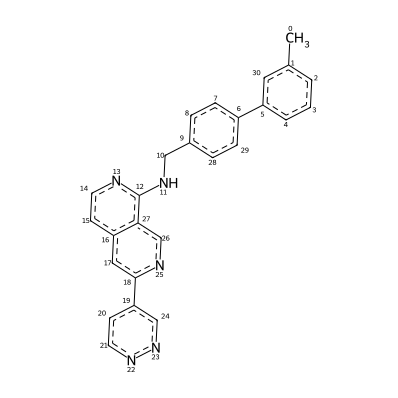 Cc1cccc(-c2ccc(CNc3nccc4cc(-c5ccnnc5)ncc34)cc2)c1